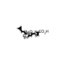 CC(=O)OC(CC(NC(=O)CCC1CC1)C(C)C)c1nc(C(=O)O)cs1